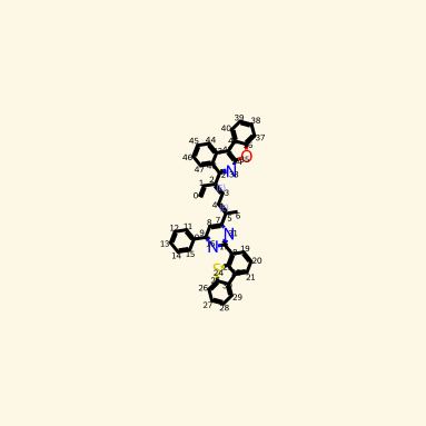 C=C/C(=C\C=C(/C)c1cc(-c2ccccc2)nc(-c2cccc3c2sc2ccccc23)n1)c1nc2oc3ccccc3c2c2ccccc12